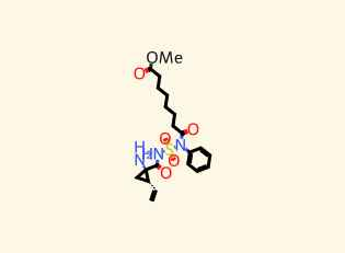 C=C[C@@H]1C[C@]1(N)C(=O)NS(=O)(=O)N(C(=O)CCCCCCC(=O)OC)c1ccccc1